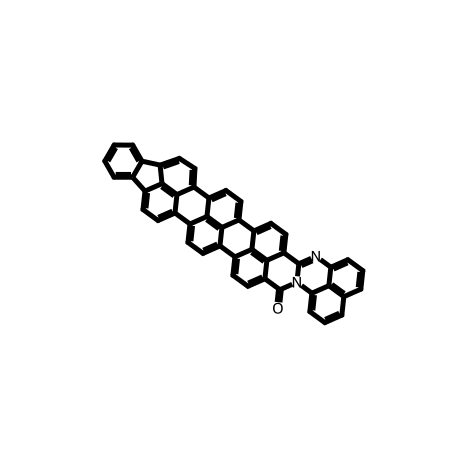 O=c1c2ccc3c4ccc5c6ccc7c8c(ccc(c9ccc(c%10ccc(c2c3%10)c2nc3cccc%10cccc(c%103)n12)c4c59)c86)-c1ccccc1-7